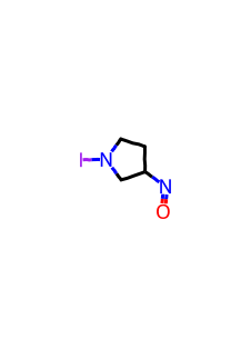 O=NC1CCN(I)C1